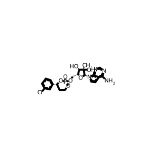 C[C@@]1(O)[C@H](O)[C@@H](COP2(=O)OCC[C@H](c3cccc(Cl)c3)O2)O[C@H]1n1ccc2c(N)ncnc21